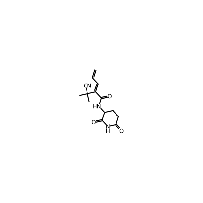 C=C/C=C(/C(=O)NC1CCC(=O)NC1=O)C(C)(C)C#N